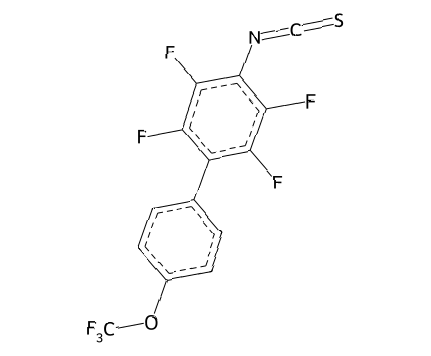 Fc1c(F)c(-c2ccc(OC(F)(F)F)cc2)c(F)c(F)c1N=C=S